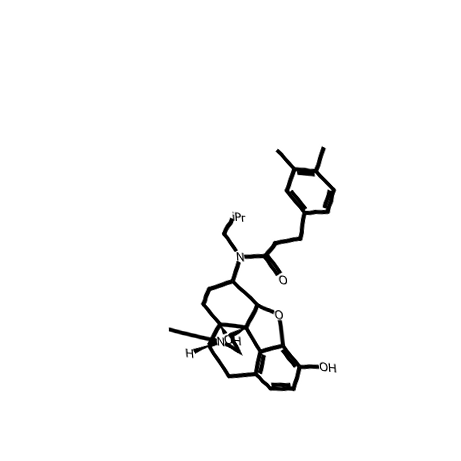 Cc1ccc(CCC(=O)N(CC(C)C)C2CC[C@@]3(O)[C@H]4Cc5ccc(O)c6c5[C@@]3(CCN4C)C2O6)cc1C